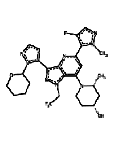 C[C@@H]1C[C@H](O)CCN1c1cc(-c2c(F)cnn2C)nc2c(-c3ccnn3C3CCCCO3)nn(CC(F)(F)F)c12